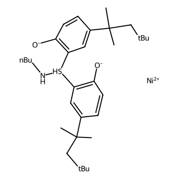 CCCCN[SH](c1cc(C(C)(C)CC(C)(C)C)ccc1[O-])c1cc(C(C)(C)CC(C)(C)C)ccc1[O-].[Ni+2]